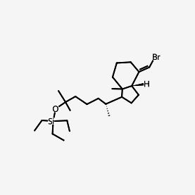 CC[Si](CC)(CC)OC(C)(C)CCC[C@@H](C)C1CC[C@H]2/C(=C/Br)CCCC12C